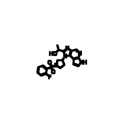 CC(O)c1nc2cnc3[nH]ccc3c2n1C1CCN(S(=O)(=O)c2ccccc2F)C1